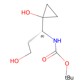 CC(C)(C)OC(=O)N[C@H](CCO)C1(O)CC1